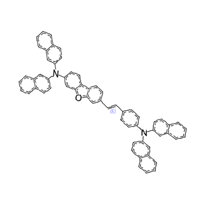 C(=C\c1ccc2c(c1)oc1cc(N(c3ccc4ccccc4c3)c3ccc4ccccc4c3)ccc12)/c1ccc(N(c2ccc3ccccc3c2)c2ccc3ccccc3c2)cc1